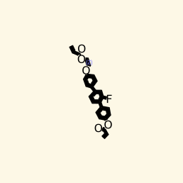 C=CC(=O)O/C=C\Oc1ccc(-c2ccc(-c3ccc(OC(=O)C=C)cc3)c(F)c2)cc1